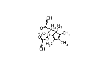 C#CC(=O)[O][Ti]([CH3])([O]C(=O)C#C)[C]1=C(C)C(C)=C(C)C1(C)C